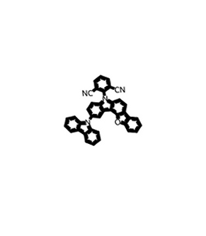 N#Cc1cccc(C#N)c1-n1c2ccc(-n3c4ccccc4c4ccccc43)cc2c2c3oc4ccccc4c3ccc21